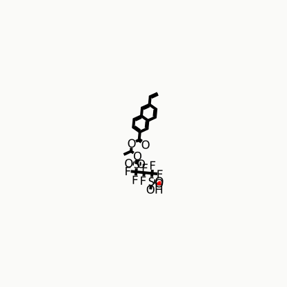 C=Cc1ccc2cc(C(=O)OC(C)OS(=O)(=O)C(F)(F)C(F)(F)C(F)(F)S(=O)(=O)O)ccc2c1